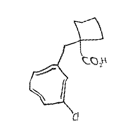 O=C(O)C1(Cc2cccc(Cl)c2)CCC1